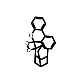 c1ccc2c(c1)OC1(OOC13C1CC4CC(C1)CC3C4)c1ccccc1-2